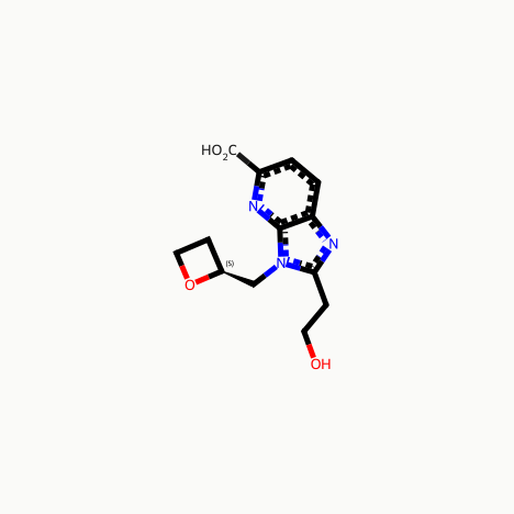 O=C(O)c1ccc2nc(CCO)n(C[C@@H]3CCO3)c2n1